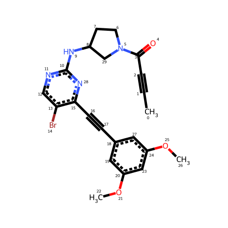 CC#CC(=O)N1CCC(Nc2ncc(Br)c(C#Cc3cc(OC)cc(OC)c3)n2)C1